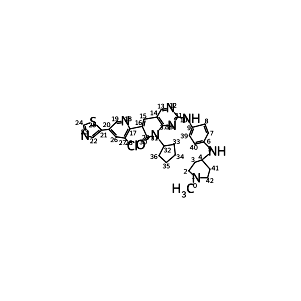 CN1CCC(Nc2ccc(Nc3ncc4cc(-c5ncc(-c6cncs6)cc5Cl)c(=O)n(C5CCCC5)c4n3)cc2)CC1